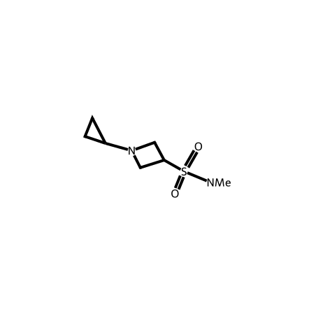 CNS(=O)(=O)C1CN(C2CC2)C1